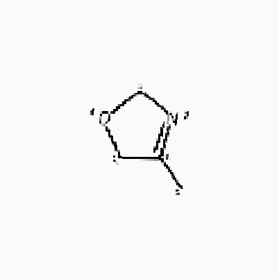 CC1=NCO[CH]1